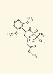 COC(=O)CCCC(NS(=O)(=O)C(C)(C)C)c1c(OC)ccnc1OC